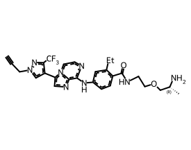 C#CCn1cc(-c2cnc3c(Nc4ccc(C(=O)NCCOC[C@@H](C)N)c(CC)c4)nccn23)c(C(F)(F)F)n1